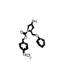 O=C(OCc1ccc([N+](=O)[O-])cc1)N1CC(S)CC1COc1ccccc1